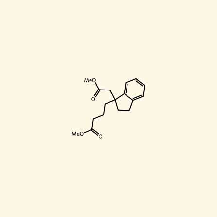 COC(=O)CCCC1(CC(=O)OC)CCc2ccccc21